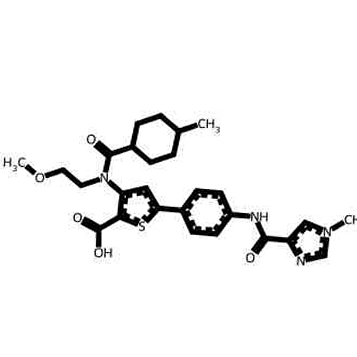 COCCN(C(=O)C1CCC(C)CC1)c1cc(-c2ccc(NC(=O)c3cn(C)cn3)cc2)sc1C(=O)O